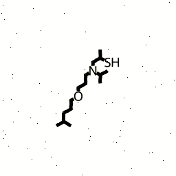 CC(C)CCCOCCCN(CC(C)S)C(C)C